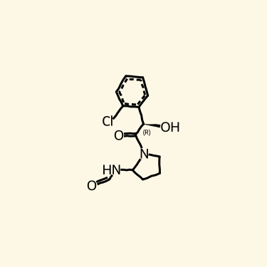 O=CNC1CCCN1C(=O)[C@H](O)c1ccccc1Cl